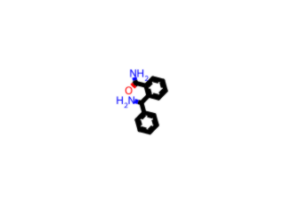 NC(=O)c1ccccc1C(N)c1ccccc1